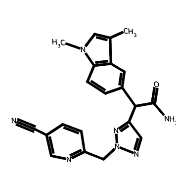 Cc1cn(C)c2ccc(C(C(N)=O)c3cnn(Cc4ccc(C#N)cn4)n3)cc12